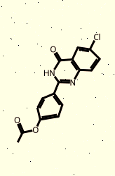 CC(=O)Oc1ccc(-c2nc3ccc(Cl)cc3c(=O)[nH]2)cc1